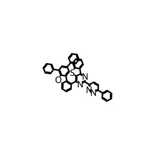 c1ccc(-c2cc(-c3ccccc3)c3oc4cccc(-c5nc(-c6ccc(-c7ccccc7)nn6)nc6c5sc5ccccc56)c4c3c2)cc1